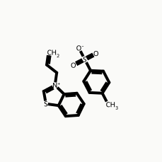 C=CC[n+]1csc2ccccc21.Cc1ccc(S(=O)(=O)[O-])cc1